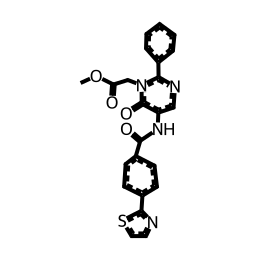 COC(=O)Cn1c(-c2ccccc2)ncc(NC(=O)c2ccc(-c3nccs3)cc2)c1=O